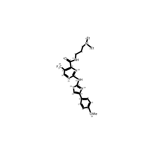 CCN(CC)CCCNC(=O)c1nc(Nc2nc(-c3ccc(OC)cc3)cs2)ncc1C(F)(F)F